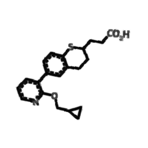 O=C(O)CCC1CCc2cc(-c3cccnc3OCC3CC3)ccc2S1